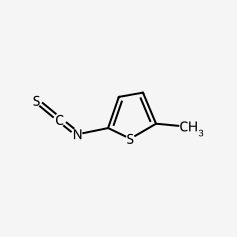 Cc1ccc(N=C=S)s1